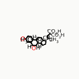 CC(CC(C(=O)O)C(=O)O)[C@H]1CC[C@H]2[C@@H]3[C@@H]4O[C@@H]4C4=CC(=O)CC[C@]4(C)[C@H]3CC[C@]12C